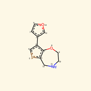 c1cc(-c2csc3c2OCCNC3)co1